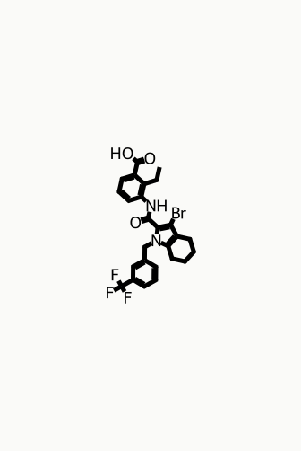 CCc1c(NC(=O)c2c(Br)c3c(n2Cc2cccc(C(F)(F)F)c2)CCCC3)cccc1C(=O)O